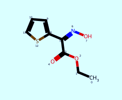 CCOC(=O)C(=NO)c1cccs1